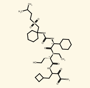 CCN(C(=O)[C@@H](NC(=O)NC1(CS(=O)(=O)CCC(C)C)CCCCC1)C1CCCCC1)[C@@H](CCO)C(=O)NC(CC1CCC1)C(=O)C(N)=O